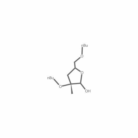 CCCCOCC1C[C@@](C)(OCCCC)C(O)O1